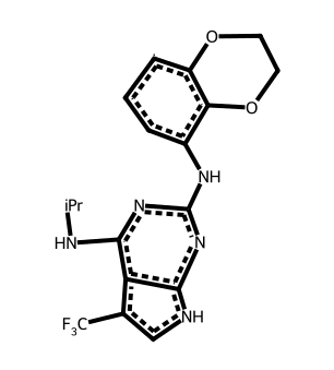 CC(C)Nc1nc(Nc2cc[c]c3c2OCCO3)nc2[nH]cc(C(F)(F)F)c12